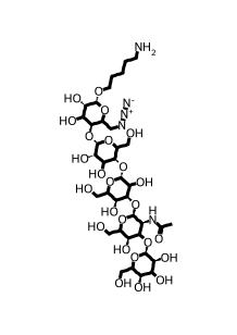 CC(=O)N[C@H]1C(O[C@@H]2OC(CO)[C@H](O)C(O)[C@@H]2O)[C@@H](O)C(CO)O[C@H]1O[C@@H]1C(O)[C@@H](O[C@H]2C(CO)O[C@@H](O[C@@H]3C(CN=[N+]=[N-])O[C@@H](OCCCCCN)[C@@H](O)C3O)[C@@H](O)C2O)OC(CO)[C@@H]1O